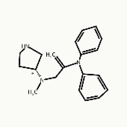 C=C(CN(C)[C@@H]1CCNC1)N(c1ccccc1)c1ccccc1